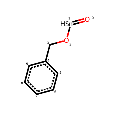 [O]=[SnH][O]Cc1ccccc1